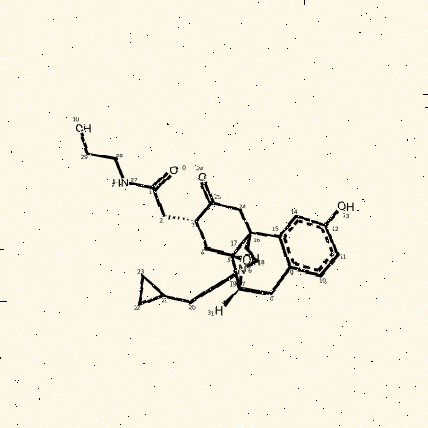 O=C(C[C@H]1C[C@@]2(O)[C@H]3Cc4ccc(O)cc4[C@@]2(CCN3CC2CC2)CC1=O)NCCO